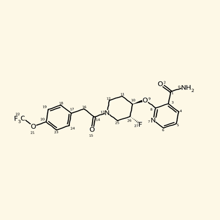 NC(=O)c1cccnc1O[C@@H]1CCN(C(=O)Cc2ccc(OC(F)(F)F)cc2)C[C@H]1F